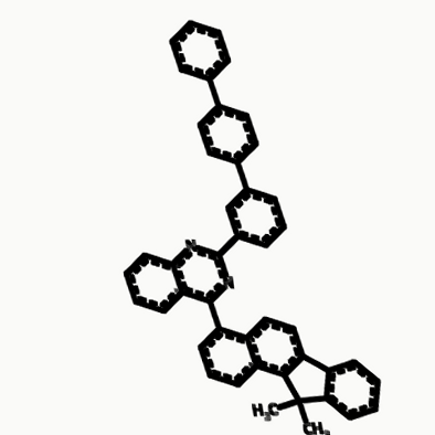 CC1(C)c2ccccc2-c2ccc3c(-c4nc(-c5cccc(-c6ccc(-c7ccccc7)cc6)c5)nc5ccccc45)cccc3c21